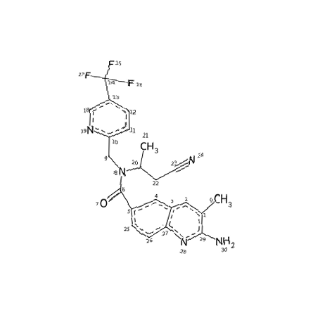 Cc1cc2cc(C(=O)N(Cc3ccc(C(F)(F)F)cn3)C(C)CC#N)ccc2nc1N